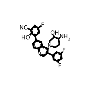 N#Cc1cc(F)cc(-c2ccc3ncc(-c4cc(F)cc(F)c4)c(N4CCC(N)C(O)C4)c3c2)c1O